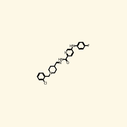 O=C(N/N=C/C1CCN(Cc2ccccc2Cl)CC1)c1ccc(Nc2ccc(F)cc2)cn1